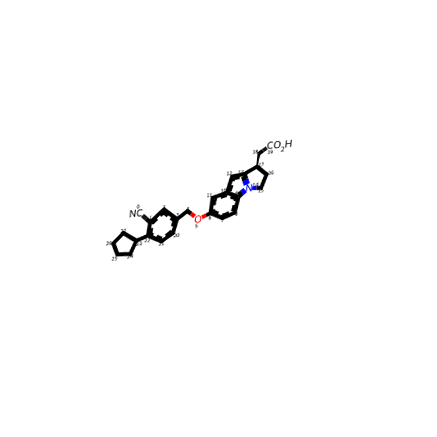 N#Cc1cc(COc2ccc3c(c2)cc2n3CC[C@@H]2CC(=O)O)ccc1C1CCCC1